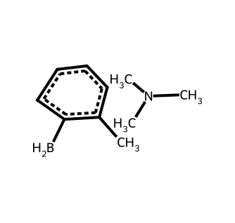 Bc1ccccc1C.CN(C)C